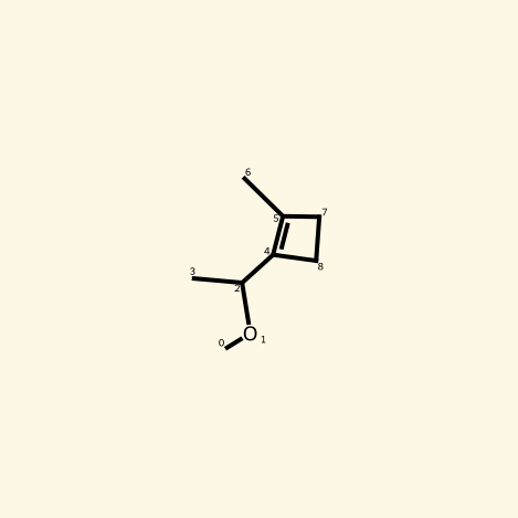 COC(C)C1=C(C)CC1